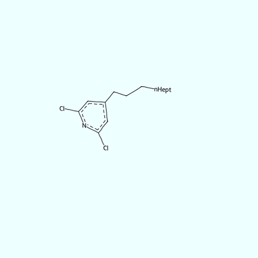 CCCCCCCCCCc1cc(Cl)nc(Cl)c1